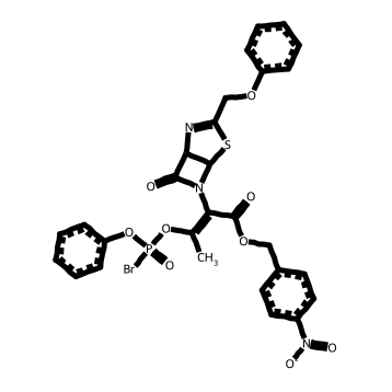 CC(OP(=O)(Br)Oc1ccccc1)=C(C(=O)OCc1ccc([N+](=O)[O-])cc1)N1C(=O)C2N=C(COc3ccccc3)SC21